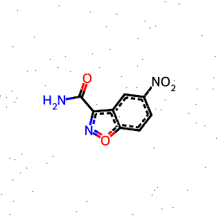 NC(=O)c1noc2ccc([N+](=O)[O-])cc12